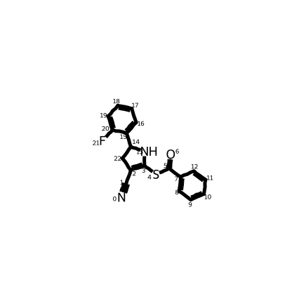 N#CC1=C(SC(=O)c2ccccc2)NC(c2ccccc2F)C1